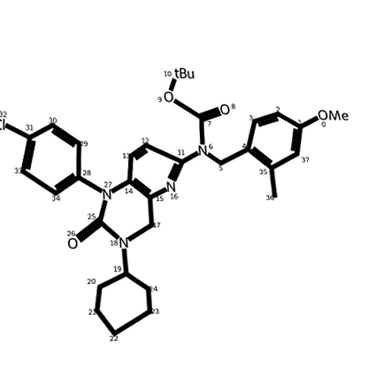 COc1ccc(CN(C(=O)OC(C)(C)C)c2ccc3c(n2)CN(C2CCCCC2)C(=O)N3c2ccc(Cl)cc2)c(C)c1